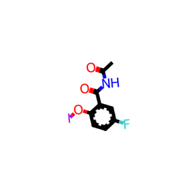 CC(=O)NC(=O)c1cc(F)ccc1OI